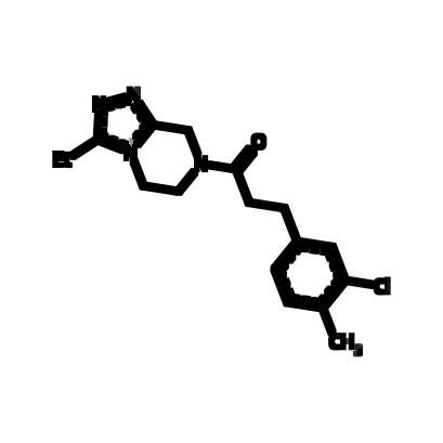 CCc1nnc2n1CCN(C(=O)CCc1ccc(C)c(Cl)c1)C2